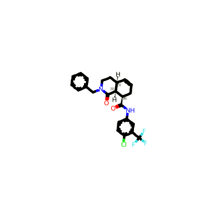 O=C(Nc1ccc(Cl)c(C(F)(F)F)c1)[C@@H]1CC=C[C@@H]2CCN(Cc3ccccc3)C(=O)[C@@H]21